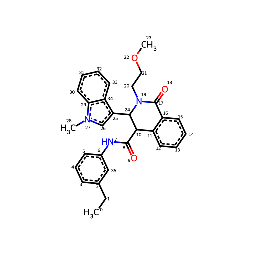 CCc1cccc(NC(=O)C2c3ccccc3C(=O)N(CCOC)C2c2cn(C)c3ccccc23)c1